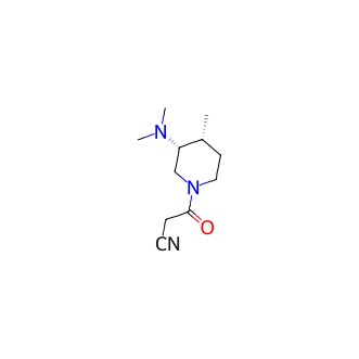 C[C@@H]1CCN(C(=O)CC#N)C[C@@H]1N(C)C